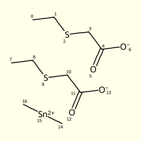 CCSCC(=O)[O-].CCSCC(=O)[O-].[CH3][Sn+2][CH3]